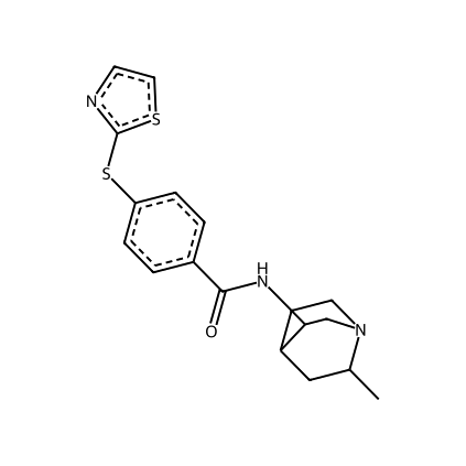 CC1CC2CCN1CC2NC(=O)c1ccc(Sc2nccs2)cc1